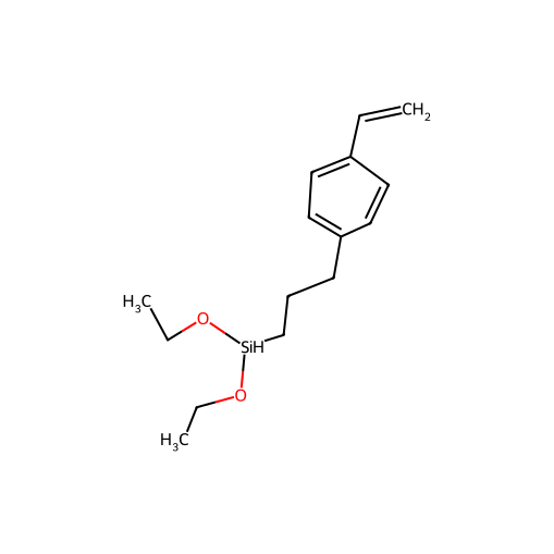 C=Cc1ccc(CCC[SiH](OCC)OCC)cc1